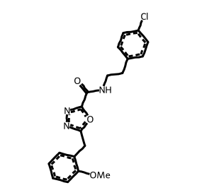 COc1ccccc1Cc1nnc(C(=O)NCCc2ccc(Cl)cc2)o1